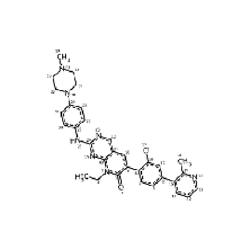 CCn1c(=O)c(-c2ccc(-c3cccnc3C)cc2Cl)cc2cnc(Nc3ccc(N4CCN(C)CC4)cc3)nc21